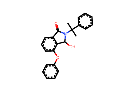 CC(C)(c1ccccc1)N1C(=O)c2cccc(Oc3ccccc3)c2C1O